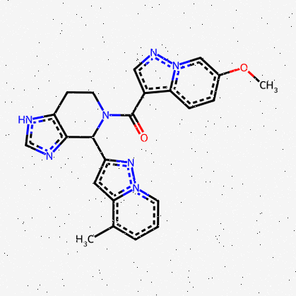 COc1ccc2c(C(=O)N3CCc4[nH]cnc4C3c3cc4c(C)cccn4n3)cnn2c1